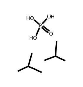 CC(C)C.CC(C)C.O=P(O)(O)O